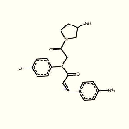 Nc1ccc(/C=C\C(=O)N(CC(=O)N2CCC(N)C2)c2ccc(Cl)cc2)cc1